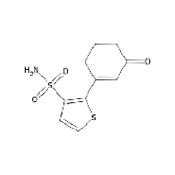 NS(=O)(=O)c1ccsc1C1=CC(=O)CCC1